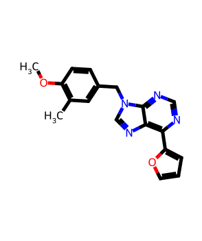 COc1ccc(Cn2cnc3c(-c4ccco4)ncnc32)cc1C